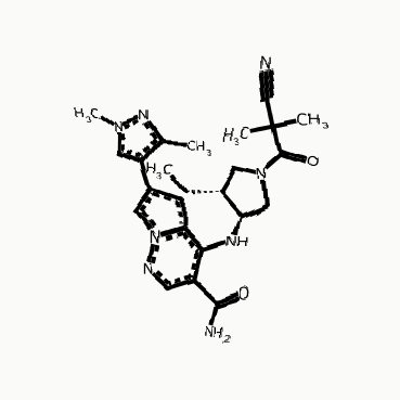 CC[C@@H]1CN(C(=O)C(C)(C)C#N)C[C@H]1Nc1c(C(N)=O)cnn2cc(-c3cn(C)nc3C)cc12